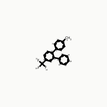 Cc1ccc(-c2ccc(C(F)(F)F)cc2-c2ccccc2)cc1